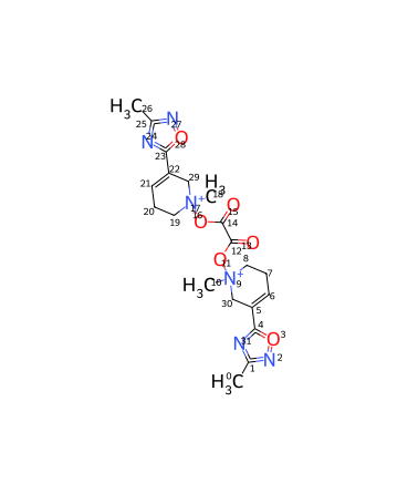 Cc1noc(C2=CCC[N+](C)(OC(=O)C(=O)O[N+]3(C)CCC=C(c4nc(C)no4)C3)C2)n1